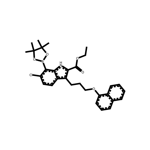 CCOC(=O)c1[nH]c2c(B3OC(C)(C)C(C)(C)O3)c(Cl)ccc2c1CCCOc1cccc2ccccc12